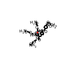 CCP(=O)(OC1CCC(C(=O)Nc2ccc(CC(C(=O)NCCOCCON)N(CC(=O)NCCOCCON)CC(=O)NCCOCCON)cc2)CC1)SC